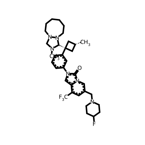 CN1CN2CCCCCCN2C1[C@]1(c2cccc(-n3cc4c(C(F)(F)F)cc(CN5CCC(F)CC5)cn4c3=O)c2)C[C@H](C)C1